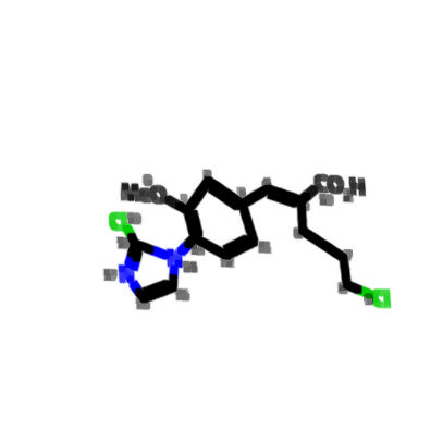 COc1cc(/C=C(\CCCCl)C(=O)O)ccc1-n1ccnc1Cl